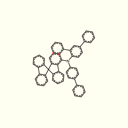 c1ccc(-c2ccc(N(c3ccc(-c4ccccc4)cc3-c3ccccc3)c3cccc4c3-c3ccccc3C43c4ccccc4-c4ccccc43)cc2)cc1